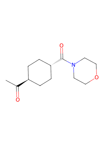 CC(=O)[C@H]1CC[C@H](C(=O)N2CCOCC2)CC1